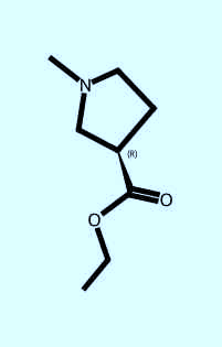 CCOC(=O)[C@@H]1CCN(C)C1